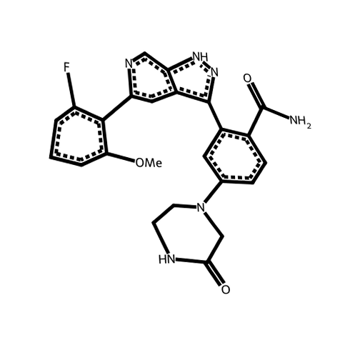 COc1cccc(F)c1-c1cc2c(-c3cc(N4CCNC(=O)C4)ccc3C(N)=O)n[nH]c2cn1